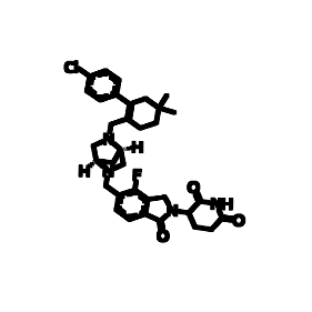 CC1(C)CCC(CN2C[C@H]3C[C@@H]2CN3Cc2ccc3c(c2F)CN(C2CCC(=O)NC2=O)C3=O)=C(c2ccc(Cl)cc2)C1